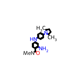 CNC(=O)c1ccc(Nc2ccc(N3C(C)CCC3C)cc2)cc1N